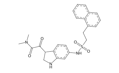 CN(C)C(=O)C(=O)C1CNc2cc(NS(=O)(=O)CCc3cccc4ccccc34)ccc21